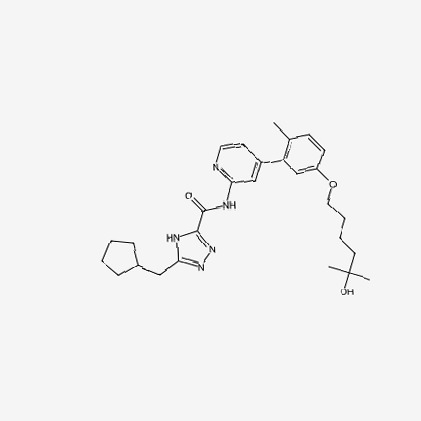 Cc1ccc(OCCCCC(C)(C)O)cc1-c1ccnc(NC(=O)c2nnc(CC3CCCC3)[nH]2)c1